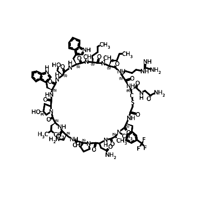 CCCC[C@H]1C(=O)N(C)[C@@H](CCCC)C(=O)N[C@@H](CCCNC(=N)N)C(=O)N[C@H](C(=O)NCC(N)=O)CSCC(=O)N[C@@H](Cc2cccc(C(F)(F)F)c2)C(=O)N(C)[C@@H](C)C(=O)NC(CC(N)=O)C(=O)N2CCC[C@H]2C(=O)N[C@@H](CN)C(=O)N[C@@H](CC(C)C)C(=O)N2C[C@H](O)CC2C(=O)N[C@@H](Cc2c[nH]c3ccccc23)C(=O)N[C@@H](CO)C(=O)N[C@@H](Cc2c[nH]c3ccccc23)C(=O)N1C